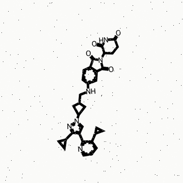 O=C1CCC(N2C(=O)c3ccc(NCC4CC(n5cc(-c6ncccc6C6CC6)c(C6CC6)n5)C4)cc3C2=O)C(=O)N1